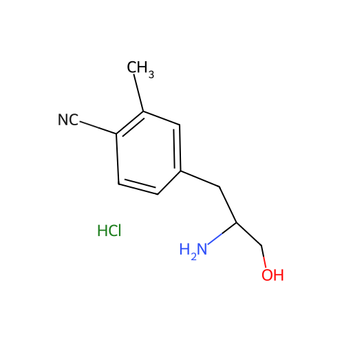 Cc1cc(CC(N)CO)ccc1C#N.Cl